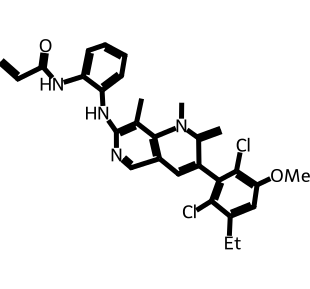 C=CC(=O)Nc1ccccc1Nc1ncc2c(c1C)N(C)C(=C)C(c1c(Cl)c(CC)cc(OC)c1Cl)=C2